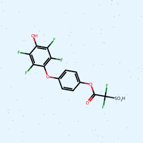 O=C(Oc1ccc(Oc2c(F)c(F)c(O)c(F)c2F)cc1)C(F)(F)S(=O)(=O)O